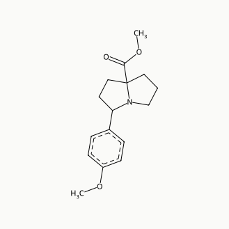 COC(=O)C12CCCN1C(c1ccc(OC)cc1)CC2